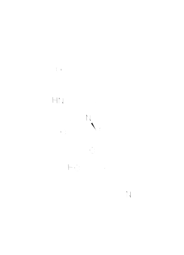 N#C[C@@]1(CO)CC[C@H](n2ccc(=O)[nH]c2=O)O1